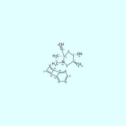 C#C[C@@]1(C)C[C@H](O)[C@@H](C)CN1C.c1ccc2c3ccc-3c2c1